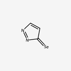 [Se]=C1C=CN=N1